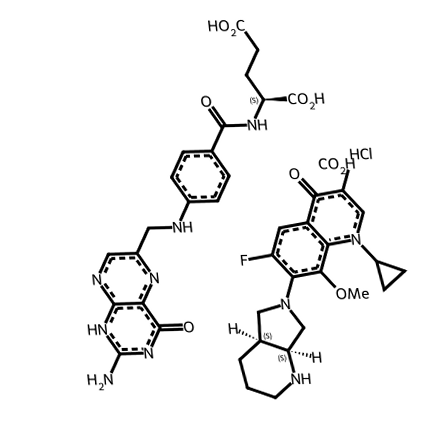 COc1c(N2C[C@@H]3CCCN[C@@H]3C2)c(F)cc2c(=O)c(C(=O)O)cn(C3CC3)c12.Cl.Nc1nc(=O)c2nc(CNc3ccc(C(=O)N[C@@H](CCC(=O)O)C(=O)O)cc3)cnc2[nH]1